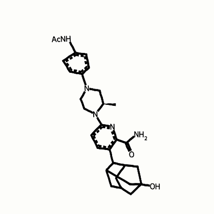 CC(=O)Nc1ccc(N2CCN(c3ccc(C4C5CC6CC4CC(O)(C6)C5)c(C(N)=O)n3)[C@H](C)C2)cc1